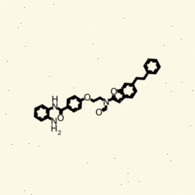 Nc1ccccc1NC(=O)c1ccc(OCCN(C=O)c2cc3ccc(CCc4ccccc4)cc3o2)cc1